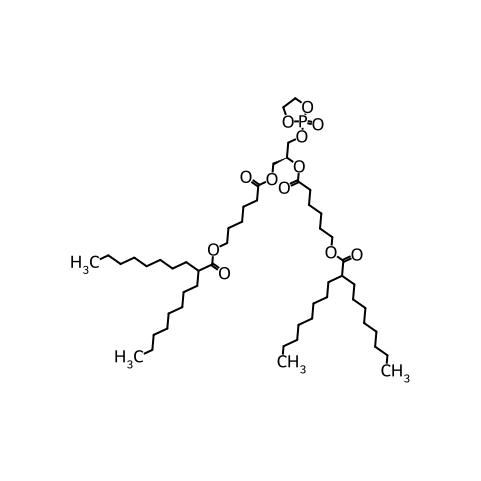 CCCCCCCCC(CCCCCCCC)C(=O)OCCCCCC(=O)OC[C@@H](COP1(=O)OCCO1)OC(=O)CCCCCOC(=O)C(CCCCCCCC)CCCCCCCC